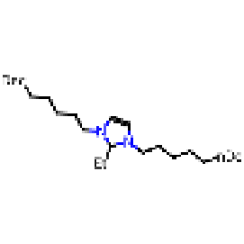 CCCCCCCCCCCCCCCN1C=CN(CCCCCCCCCCCCCCC)C1CC